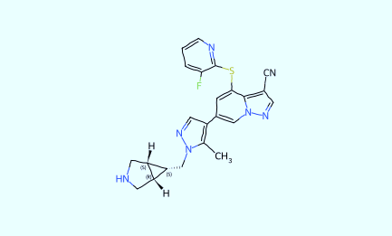 Cc1c(-c2cc(Sc3ncccc3F)c3c(C#N)cnn3c2)cnn1C[C@@H]1[C@@H]2CNC[C@@H]21